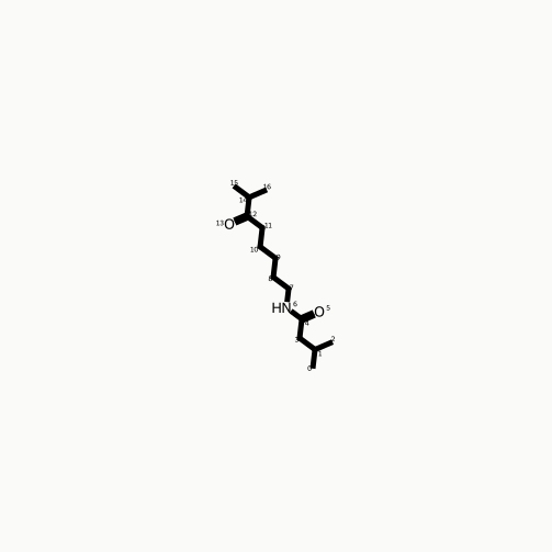 CC(C)CC(=O)NCCCCCC(=O)C(C)C